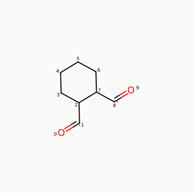 O=[C]C1CCCCC1[C]=O